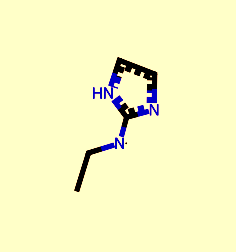 CC[N]c1ncc[nH]1